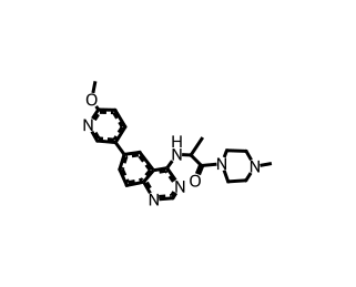 COc1ccc(-c2ccc3ncnc(NC(C)C(=O)N4CCN(C)CC4)c3c2)cn1